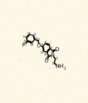 NCCN1C(=O)c2ccc(OCc3cccc(F)c3)cc2C1=O